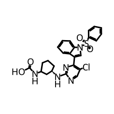 O=C(O)NC1CCC[C@@H](Nc2ncc(Cl)c(-c3cn(S(=O)(=O)c4ccccc4)c4ccccc34)n2)C1